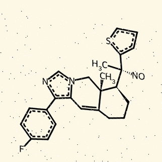 C[C@]12Cn3cnc(-c4ccc(F)cc4)c3C=C1CCC[C@@H]2[C@](C)(N=O)c1cccs1